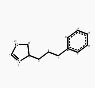 [C]1=NC(CCCc2ccccc2)CO1